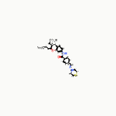 COCCC1Oc2cc(NC(=O)c3ccc(C=NN4CCSCC4)cc3)ccc2CC1CC(=O)O